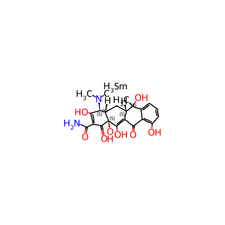 CN(C)[C@@H]1C(O)=C(C(N)=O)C(=O)[C@@]2(O)C(O)=C3C(=O)c4c(O)cccc4[C@@](C)(O)[C@H]3C[C@@H]12.[Sm]